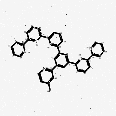 Fc1ccnc(-c2cc(-c3cccc(-c4ccccn4)n3)cc(-c3cccc(-c4cccc(-c5ccccn5)n4)n3)c2)c1